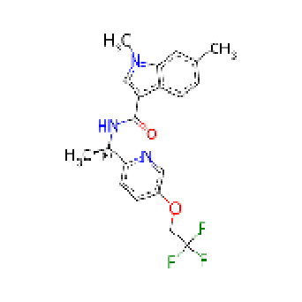 Cc1ccc2c(C(=O)N[C@H](C)c3ccc(OCC(F)(F)F)cn3)cn(C)c2c1